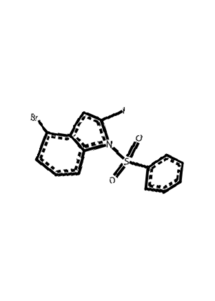 O=S(=O)(c1ccccc1)n1c(I)cc2c(Br)cccc21